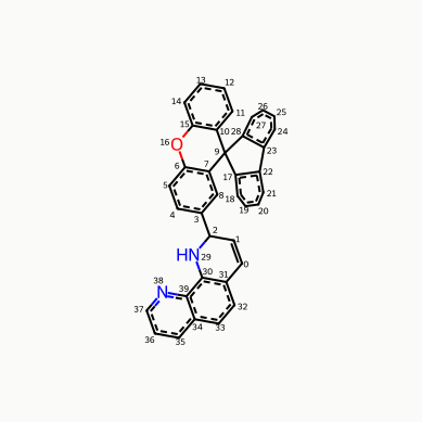 C1=CC(c2ccc3c(c2)C2(c4ccccc4O3)c3ccccc3-c3ccccc32)Nc2c1ccc1cccnc21